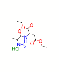 CCOC(=O)C[C@H](NC(=O)C(C)N)C(=O)OCC.Cl